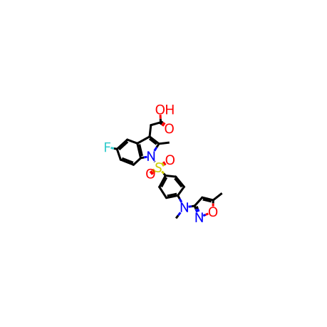 Cc1cc(N(C)c2ccc(S(=O)(=O)n3c(C)c(CC(=O)O)c4cc(F)ccc43)cc2)no1